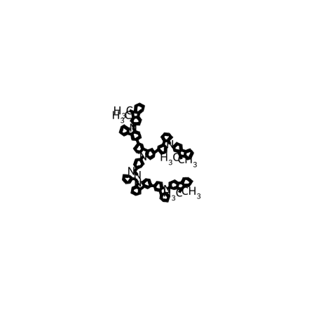 CC1(C)c2ccccc2-c2ccc(-n3c4ccccc4c4cc(-c5ccc6c(c5)c5cc(-c7ccc8c(c7)c7ccccc7n8-c7ccc8c(c7)C(C)(C)c7ccccc7-8)ccc5n6-c5ccc(-c6nc(-n7c8ccccc8c8cc(-c9ccc%10c(c9)c9ccccc9n%10-c9ccc%10c(c9)C(C)(C)c9ccccc9-%10)ccc87)c7ccccc7n6)cc5)ccc43)cc21